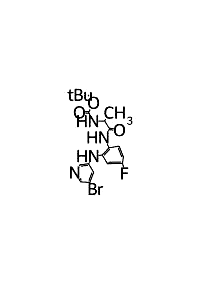 CC(NC(=O)OC(C)(C)C)C(=O)Nc1ccc(F)cc1Nc1cncc(Br)c1